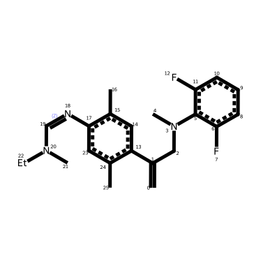 C=C(CN(C)c1c(F)cccc1F)c1cc(C)c(/N=C\N(C)CC)cc1C